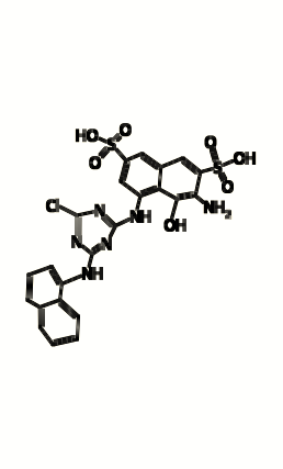 Nc1c(S(=O)(=O)O)cc2cc(S(=O)(=O)O)cc(Nc3nc(Cl)nc(Nc4cccc5ccccc45)n3)c2c1O